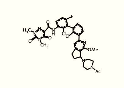 COc1nc(-c2cccc(-c3c(F)ccc(NC(=O)c4nn(C)c(=O)n(C)c4=O)c3Cl)c2Cl)cc2c1C(N1CCN(C(C)=O)CC1)CC2